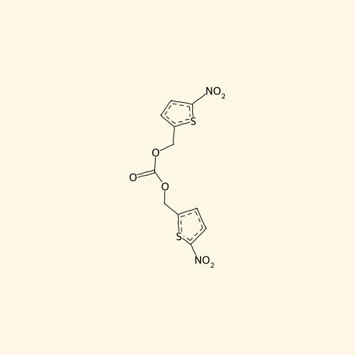 O=C(OCc1ccc([N+](=O)[O-])s1)OCc1ccc([N+](=O)[O-])s1